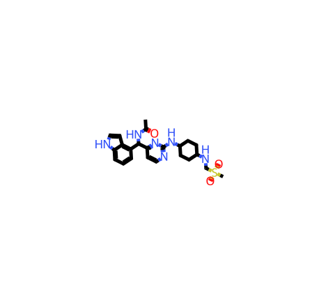 CC(=O)NC(c1ccnc(NC2CCC(NCS(C)(=O)=O)CC2)n1)c1cccc2[nH]ccc12